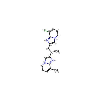 Cc1cccn2cc(C(C)Cc3cn4cccc(F)c4n3)nc12